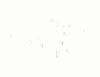 CC1CN(S(=O)(=O)N2CCC(Nc3ncc4cc(C(F)F)c(=O)n([C@@H]5CCC[C@@]5(C)O)c4n3)CC2)C1